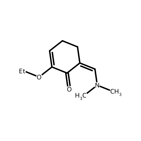 CCOC1=CCCC(=CN(C)C)C1=O